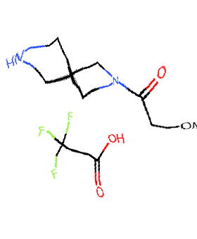 COCC(=O)N1CC2(CNC2)C1.O=C(O)C(F)(F)F